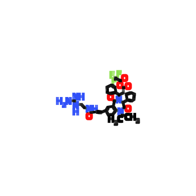 CC(C)N1C(=O)C(c2ccccc2)N(C(CC(=O)OC(=O)C(F)(F)F)c2ccccc2)C(=O)c2cc(C#CC(=O)NCCNC(=N)N)ccc21